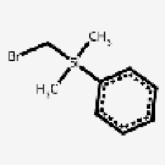 C[Si](C)(CBr)c1ccccc1